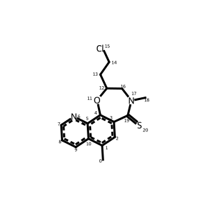 Cc1cc2c(c3ncccc13)OC(CCCl)CN(C)C2=S